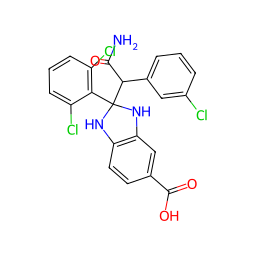 NC(=O)C(c1cccc(Cl)c1)C1(c2c(Cl)cccc2Cl)Nc2ccc(C(=O)O)cc2N1